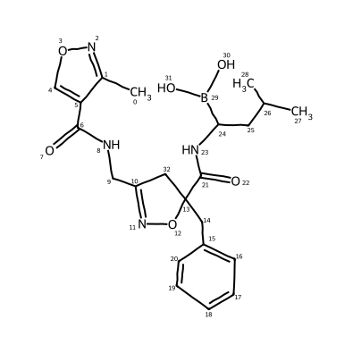 Cc1nocc1C(=O)NCC1=NOC(Cc2ccccc2)(C(=O)NC(CC(C)C)B(O)O)C1